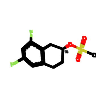 CS(=O)(=O)O[C@H]1CCc2cc(F)cc(F)c2C1